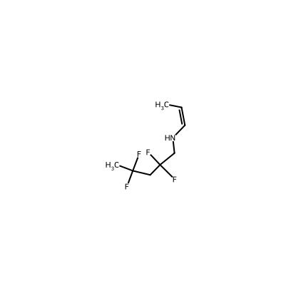 C/C=C\NCC(F)(F)CC(C)(F)F